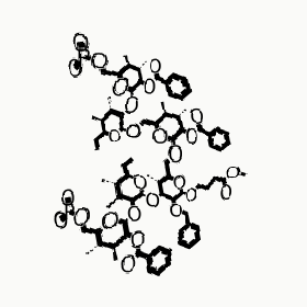 CCC1O[C@H](O[C@@H]2C(OCc3ccccc3)[C@H](OCCCC(=O)OC)OC(CO[C@H]3OC(CO[C@H]4OC(CC)[C@@H](C)[C@H](C)C4O[C@H]4OC(COP(=O)=O)[C@@H](C)[C@H](C)C4OC(=O)c4ccccc4)[C@@H](C)[C@H](C)C3OC(=O)c3ccccc3)[C@H]2C)C(O[C@H]2OC(COP(=O)=O)[C@@H](C)[C@H](C)C2OC(=O)c2ccccc2)[C@@H](C)[C@@H]1C